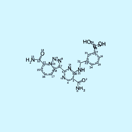 NC(=O)c1cnc(-c2nnn3c(C(N)=O)cccc23)nc1NCc1cccc(B(O)O)c1